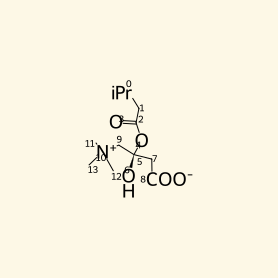 CC(C)CC(=O)O[C@](O)(CC(=O)[O-])C[N+](C)(C)C